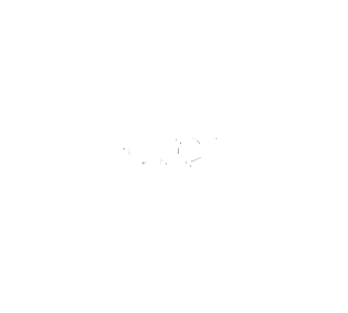 CN1CCC(F)(F)[C@H]1CNc1ncc(C(F)(F)F)cn1